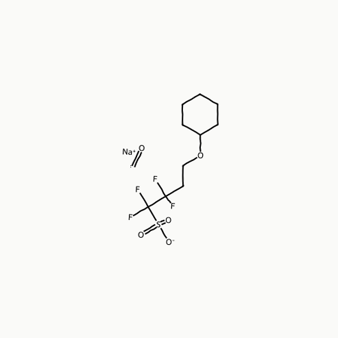 O=S(=O)([O-])C(F)(F)C(F)(F)CCOC1CCCCC1.[C]=O.[Na+]